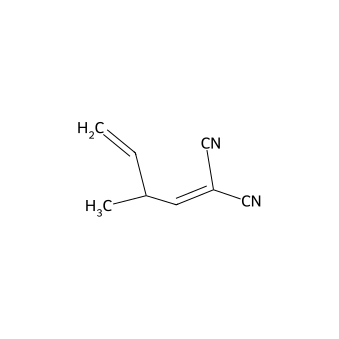 C=CC(C)C=C(C#N)C#N